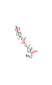 CCOc1ccc(-c2ccc(OC(=O)C3CC=C(c4ccc(C(C)O)c(F)c4F)CC3)c(F)c2)c(F)c1F